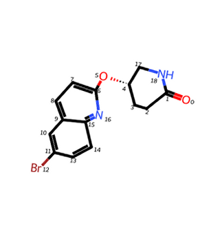 O=C1CC[C@H](Oc2ccc3cc(Br)ccc3n2)CN1